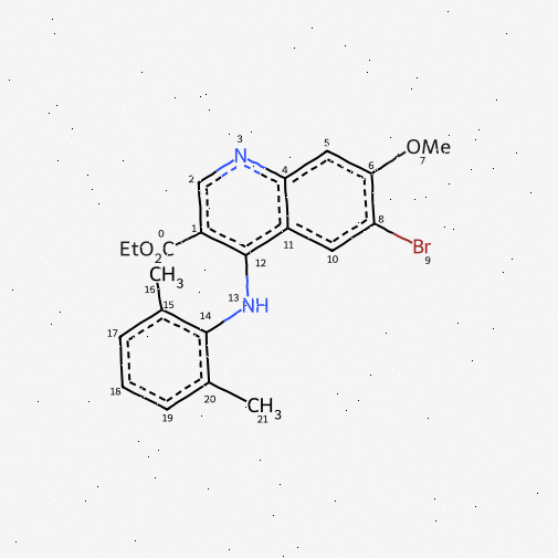 CCOC(=O)c1cnc2cc(OC)c(Br)cc2c1Nc1c(C)cccc1C